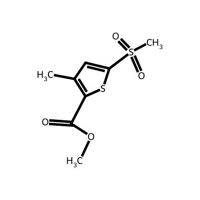 COC(=O)c1sc(S(C)(=O)=O)cc1C